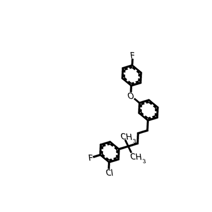 CC(C)(CCCc1cccc(Oc2ccc(F)cc2)c1)c1ccc(F)c(Cl)c1